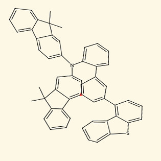 CC1(C)c2ccccc2-c2ccc(N(c3ccc4c(c3)C(C)(C)c3ccccc3-4)c3ccccc3-c3cccc(-c4cccc5sc6ccccc6c45)c3)cc21